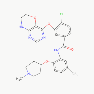 CN1CCC(Oc2ccc(C(F)(F)F)cc2NC(=O)c2ccc(Cl)c(Oc3ncnc4c3OCCN4)c2)CC1